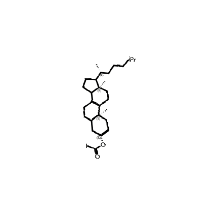 CC(C)CCC[C@@H](C)C1CCC2C3CCC4C[C@@H](OC(=O)I)CC[C@]4(C)C3CC[C@@]21C